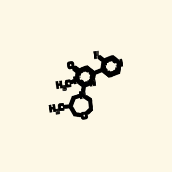 CC1COCCN(c2nc(-c3ccncc3F)cc(=O)n2C)C1